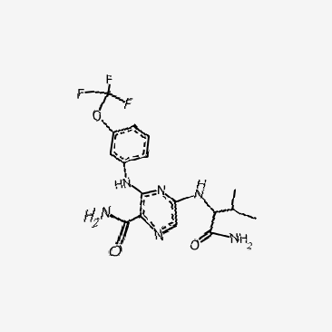 CC(C)C(Nc1cnc(C(N)=O)c(Nc2cccc(OC(F)(F)F)c2)n1)C(N)=O